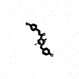 C[C@@H]1CN(C(=O)C=Cc2ccc(Br)cc2)[C@@H](C)CN1Cc1ccc(Cl)cc1